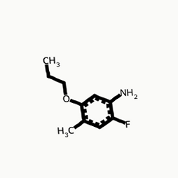 CCCOc1cc(N)c(F)cc1C